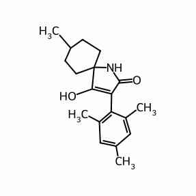 Cc1cc(C)c(C2=C(O)C3(CCC(C)CC3)NC2=O)c(C)c1